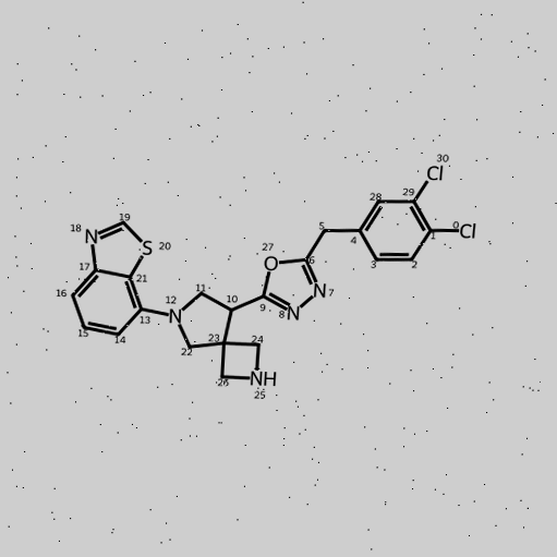 Clc1ccc(Cc2nnc(C3CN(c4cccc5ncsc45)CC34CNC4)o2)cc1Cl